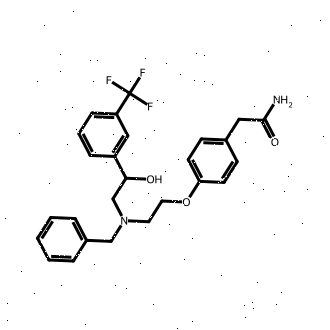 NC(=O)Cc1ccc(OCCN(Cc2ccccc2)CC(O)c2cccc(C(F)(F)F)c2)cc1